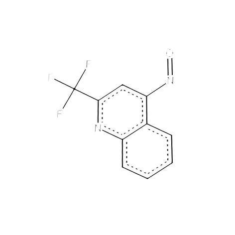 O=Nc1cc(C(F)(F)F)nc2ccccc12